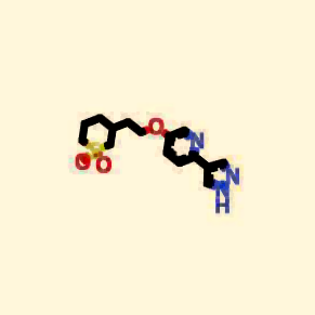 O=S1(=O)CCCC(CCOc2ccc(-c3cn[nH]c3)nc2)C1